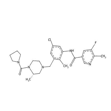 Cc1ncc(C(=O)Nc2cc(Cl)cc(CN3CCN(C(=O)N4CCCC4)[C@@H](C)C3)c2C)cc1F